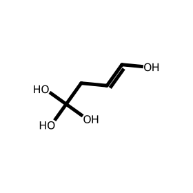 OC=CCC(O)(O)O